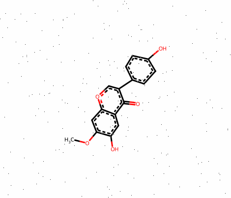 COc1cc2occ(-c3ccc(O)cc3)c(=O)c2cc1O